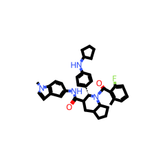 Cc1cccc(F)c1C(=O)N1C2CCCC2CC(C(=O)Nc2ccc3c(ccn3C)c2)[C@@H]1c1ccc(NC2CCCC2)cc1